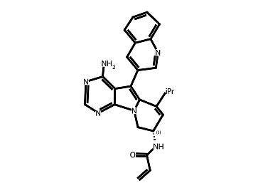 C=CC(=O)N[C@H]1C=C(C(C)C)c2c(-c3cnc4ccccc4c3)c3c(N)ncnc3n2C1